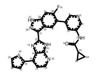 O=C(Nc1cncc(-c2cc3c(-c4nc5c(-c6cccs6)ccnc5[nH]4)n[nH]c3cc2F)c1)C1CC1